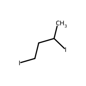 CC(I)CCI